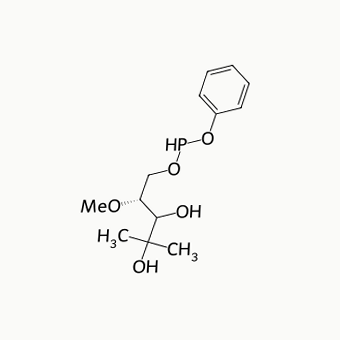 CO[C@H](COPOc1ccccc1)C(O)C(C)(C)O